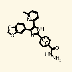 Cc1cccc(-c2[nH]c(C34CCC(C(=O)NN)(CC3)CC4)nc2-c2ccc3c(c2)OCO3)n1